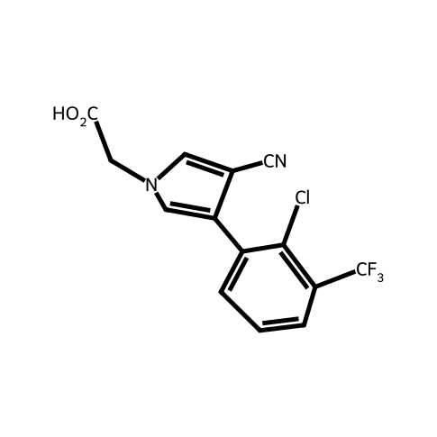 N#Cc1cn(CC(=O)O)cc1-c1cccc(C(F)(F)F)c1Cl